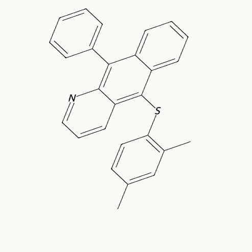 Cc1ccc(Sc2c3ccccc3c(-c3ccccc3)c3ncccc23)c(C)c1